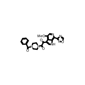 COc1cnc(-c2ncon2)c2[nH]cc(C(=O)C(=O)N3CCN(C(=O)c4ccccc4)CC3)c12